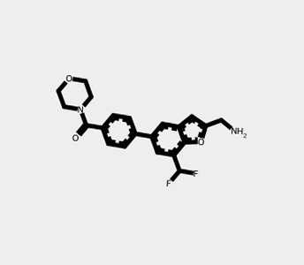 NCc1cc2cc(-c3ccc(C(=O)N4CCOCC4)cc3)cc(C(F)F)c2o1